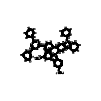 CC(C)(C)c1ccc2c(c1)c1cc(C(C)(C)C)ccc1n2-c1cc2c3ccccc3n(-c3ccccc3)c2cc1-c1ccc(-c2nc(-c3ccccc3)nc(-c3ccccc3)n2)cc1